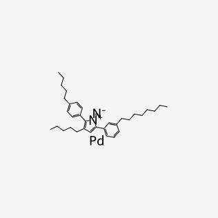 CCCCCCCCc1cccc(C2=CC(CCCCC)=C(c3ccc(CCCCC)cc3)[N+]2=[N-])c1.[Pd]